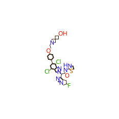 O=C(Nc1nccs1)C(c1ncn2c1CC(F)C2)n1cc2c(Cl)cc(-c3ccc(OCCN4CC5(CC(O)C5)C4)cc3)c(Cl)c2n1